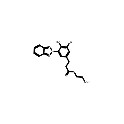 CCCCCCCCCCCCOC(=O)CCc1cc(-n2nc3ccccc3n2)c(O)c(C(C)(C)C)c1